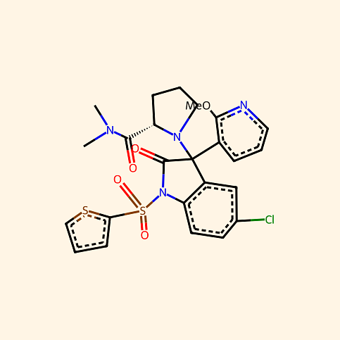 COc1ncccc1C1(N2CCC[C@H]2C(=O)N(C)C)C(=O)N(S(=O)(=O)c2cccs2)c2ccc(Cl)cc21